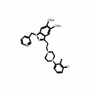 COc1cc2c(CCN3CCN(c4cccc(Cl)c4C)CC3)nn(Cc3cccnc3)c2cc1OC